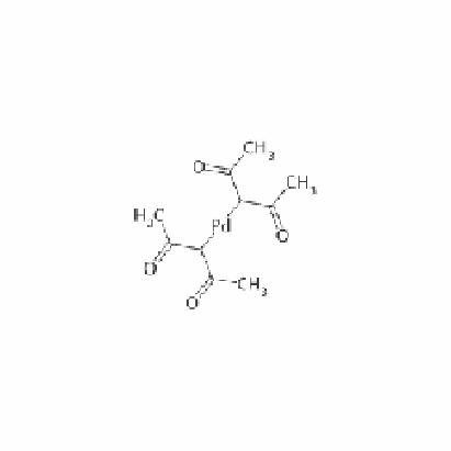 CC(=O)[CH]([Pd][CH](C(C)=O)C(C)=O)C(C)=O